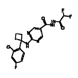 O=C(NNC(=O)C(F)F)c1cnc(NC2(c3ccc(F)cc3Cl)CCC2)nc1